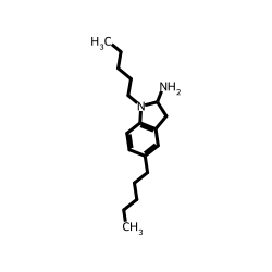 CCCCCc1ccc2c(c1)CC(N)N2CCCCC